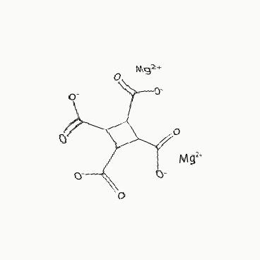 O=C([O-])C1C(C(=O)[O-])C(C(=O)[O-])C1C(=O)[O-].[Mg+2].[Mg+2]